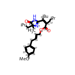 CCC(C)C(C1=NC(C)(CC(C)C)C(=O)N1)=C(CC(C)C)C(=O)OCC=CCc1ccc(OC)cc1